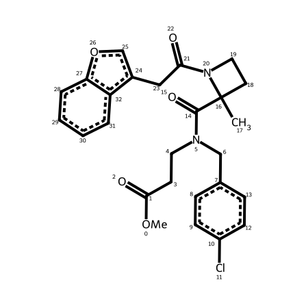 COC(=O)CCN(Cc1ccc(Cl)cc1)C(=O)C1(C)CCN1C(=O)Cc1coc2ccccc12